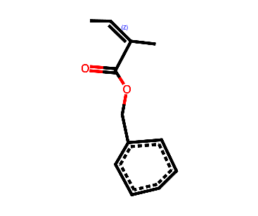 C/C=C(/C)C(=O)OCc1ccccc1